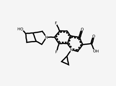 O=C(O)c1cn(C2CC2)c2c(F)c(N3CC4CC(O)C4C3)c(F)cc2c1=O